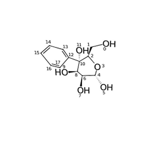 OC[C@H]1O[C@H](O)[C@@H](O)[C@@H](O)[C@@]1(O)c1ccccc1